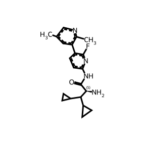 Cc1cnc(C)c(-c2ccc(NC(=O)[C@@H](N)C(C3CC3)C3CC3)nc2F)c1